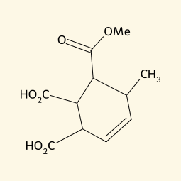 COC(=O)C1C(C)C=CC(C(=O)O)C1C(=O)O